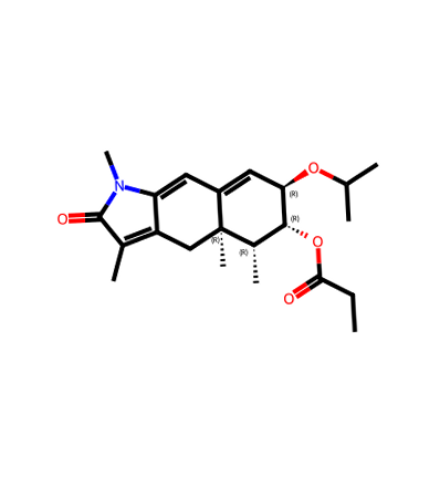 CCC(=O)O[C@H]1[C@H](OC(C)C)C=C2C=C3C(=C(C)C(=O)N3C)C[C@]2(C)[C@H]1C